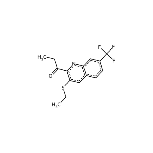 CCSc1cc2ccc(C(F)(F)F)cc2nc1C(=O)CC